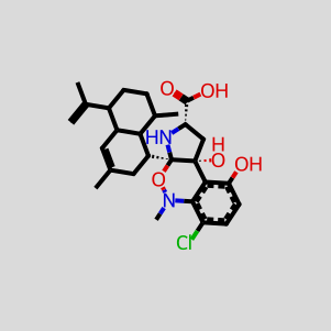 C=C(C)C1CCC(C)C2C1C=C(C)CC2[C@]12N[C@H](C(=O)O)C[C@@]1(O)c1c(O)ccc(Cl)c1N(C)O2